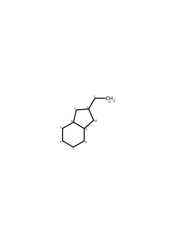 [CH2]CC1CC2CCCCC2C1